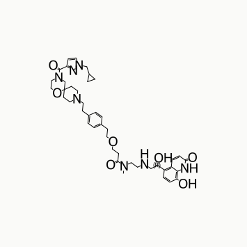 CN(CCNC[C@H](O)c1ccc(O)c2[nH]c(=O)ccc12)C(=O)CCOCCc1ccc(CCN2CCC3(CC2)CN(C(=O)c2ccn(CC4CC4)n2)CCO3)cc1